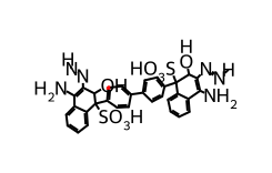 [H]/N=N/C1=C(N)c2ccccc2C(c2ccc(-c3ccc(C4(S(=O)(=O)O)c5ccccc5C(N)=C(/N=N/[H])C4O)cc3)cc2)(S(=O)(=O)O)C1O